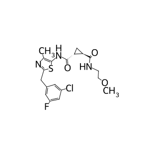 COCCNC(=O)[C@@H]1C[C@H]1C(=O)Nc1sc(Cc2cc(F)cc(Cl)c2)nc1C